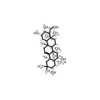 CC1(C)C[C@H]2C3=CC[C@@H]4[C@@]5(C)C[C@H](O)[C@H](O)[C@@](C)(CO)[C@@H]5CC[C@@]4(C)[C@]3(C)C[C@H](O)[C@@]2(C(=O)O)C[C@@H]1O